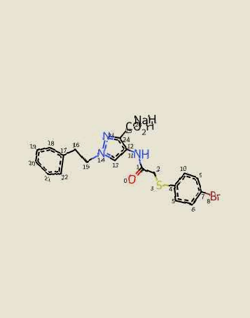 O=C(CSc1ccc(Br)cc1)Nc1cn(CCc2ccccc2)nc1C(=O)O.[NaH]